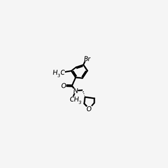 Cc1cc(Br)ccc1C(=O)N(C)C[C@@H]1CCOC1